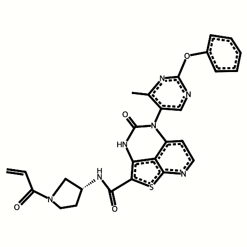 C=CC(=O)N1CC[C@@H](NC(=O)c2sc3nccc4c3c2NC(=O)N4c2cnc(Oc3ccccc3)nc2C)C1